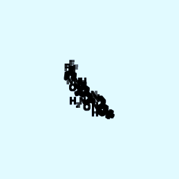 Cc1cc(-c2nn3c(c2C(N)=O)Nc2ccc(C(C)(C)C)cc2CC3)cc(C)c1C(=O)Nc1cc(C(F)(F)F)ccn1